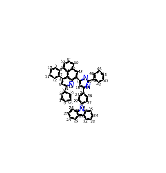 c1ccc(-c2cc(-c3ccccc3)c3c(n2)c(-c2cc(-c4ccc(-n5c6ccccc6c6ccccc65)cc4)nc(-c4ccccc4)n2)cc2ccccc23)cc1